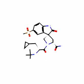 Cl.[2H]C([2H])([2H])N[C@@H](CC1CC1)C(=O)N1C[C@]2(C[C@H]1C(N)=O)C(=O)Nc1ccc(S(C)(=O)=O)cc12